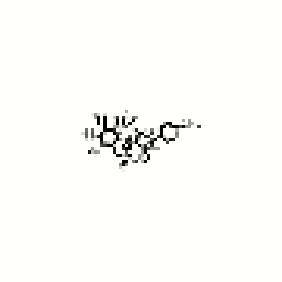 [2H]c1c([2H])c([2H])c(CS(=O)(=O)OC2=C(N([2H])[2H])OC([2H])(c3ccc(C(F)(F)F)cc3)C2=O)c([2H])c1[2H]